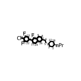 CCC[C@H]1CC[C@H](CCc2ccc3c(F)c(-c4cc(F)c(Cl)c(F)c4)ccc3c2)CC1